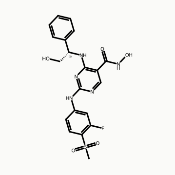 CS(=O)(=O)c1ccc(Nc2ncc(C(=O)NO)c(N[C@H](CO)c3ccccc3)n2)cc1F